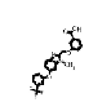 Cn1c(COc2cccc(C(=O)O)c2)nc2ccc(Oc3cccc(C(F)(F)F)c3)cc21